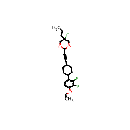 CCCC1(F)COC(C#CC2CCC(c3ccc(OCC)c(F)c3F)CC2)OC1